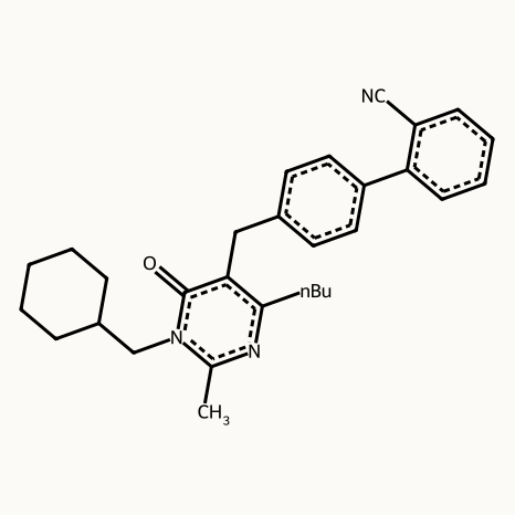 CCCCc1nc(C)n(CC2CCCCC2)c(=O)c1Cc1ccc(-c2ccccc2C#N)cc1